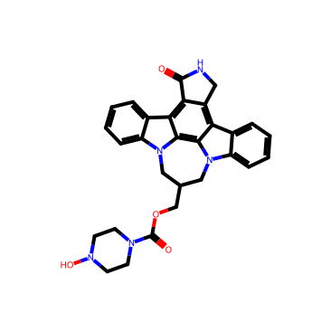 O=C1NCc2c1c1c3ccccc3n3c1c1c2c2ccccc2n1CC(COC(=O)N1CCN(O)CC1)C3